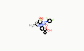 CC(C)CN(c1ccc(C2(C(=O)O)CCC2)cc1NC(=O)Nc1ccc(F)cc1F)C1CCS(=O)(=O)CC1